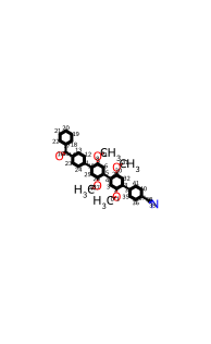 COc1cc(-c2cc(OC)c(-c3ccc(C(=O)c4ccccc4)cc3)cc2OC)c(OC)cc1-c1ccc(C#N)cc1